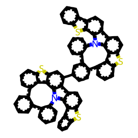 c1ccc2c(c1)sc1c2ccc2c3ccc4sc5cccc6c7ccc(-c8cc9sc%10cccc%11c%12ccccc%12c%12ccccc%12n%12c%13c(ccc%14sc%15ccccc%15c%14%13)c8c%12c9c%10%11)cc7c7ccccc7n(c21)c3c4c56